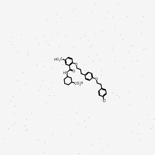 O=C(O)c1ccc(OCCCc2ccc(OCCc3ccc(Cl)cc3)cc2)c(C(=O)NC2CCCC(C(=O)O)C2)c1